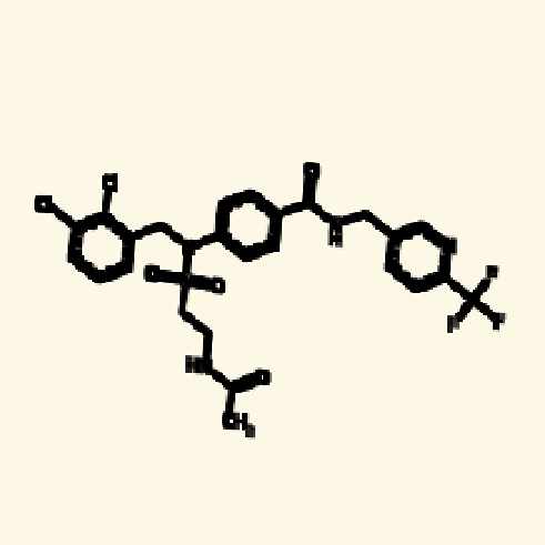 CC(=O)NCCS(=O)(=O)N(Cc1cccc(Cl)c1Cl)c1ccc(C(=O)NCc2ccc(C(F)(F)F)nc2)cc1